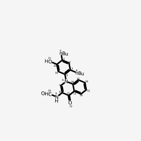 CCCCc1cc(CCCC)c(-n2cc(NC=O)c(=O)c3ccccc32)cc1O